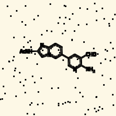 CC(=O)Nc1cn2cc(-c3cnc(N)c(C=O)c3)ccc2n1